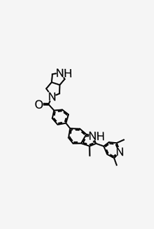 Cc1cc(-c2[nH]c3cc(-c4ccc(C(=O)N5CC6CNCC6C5)cc4)ccc3c2C)cc(C)n1